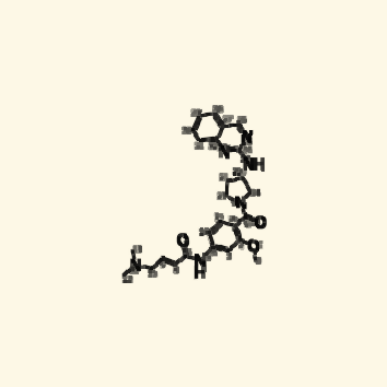 COc1cc(NC(=O)/C=C/CN(C)C)ccc1C(=O)N1CC[C@H](Nc2ncc3ccccc3n2)C1